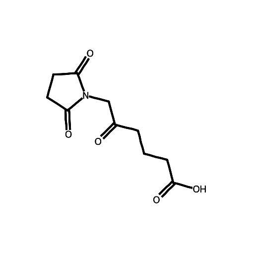 O=C(O)CCCC(=O)CN1C(=O)CCC1=O